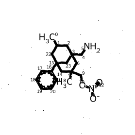 CC1CC2(CN)CC(C)(CO[N+](=O)[O-])CC(c3ccccc3)(C1)C2